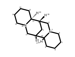 CC[C@@]12C[C@@H](CN3CCCC[C@@H]31)[C@@H]1CCCCN1C2